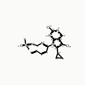 C=C/C=C\C(=N/CN=S(C)(C)=O)n1c(C2CC2)c(Cl)c2cnc(Cl)nc21